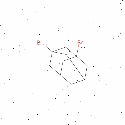 BrC12CC3CC(C1)CC(Br)(C3)C2